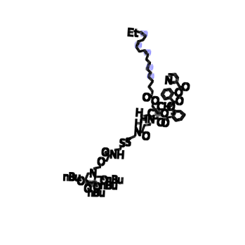 CC/C=C\C/C=C\C/C=C\C/C=C/C=C/CCCC(=O)OCC(C)(C)[C@@H](OC(=O)c1ccccc1OC(=O)c1ccccc1OC(=O)c1cccnc1)C(=O)NCCC(=O)NCCSSCCNC(=O)COCCN1CC(OCCCC)[C@@H](OCCCC)[C@H](OCCCC)C1COCCCC